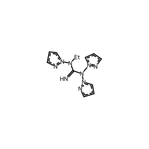 CCN(C(=N)N(n1cccn1)n1cccn1)n1cccn1